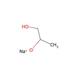 CC([O-])CO.[Na+]